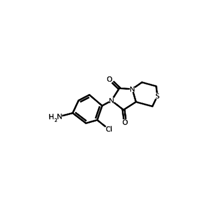 Nc1ccc(N2C(=O)C3CSCCN3C2=O)c(Cl)c1